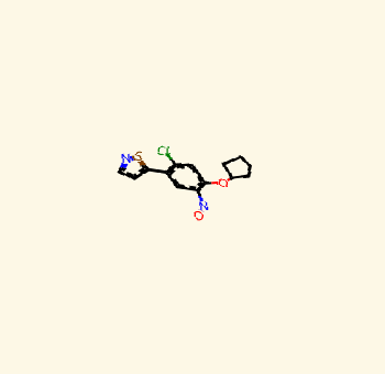 O=Nc1cc(-c2ccns2)c(Cl)cc1OC1CCCC1